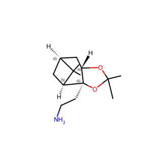 CC1(C)O[C@H]2C[C@@H]3C[C@@H](C3(C)C)[C@]2(CCN)O1